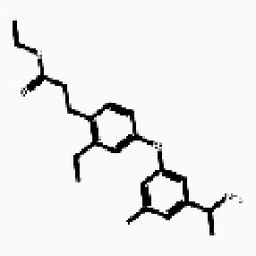 CCOC(=O)CCc1ccc(Oc2cc(C)cc(C(C)N)c2)cc1CC